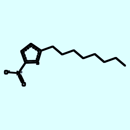 CCCCCCCCc1ccc([N+](=O)[O-])s1